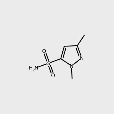 Cc1cc(S(N)(=O)=O)n(C)n1